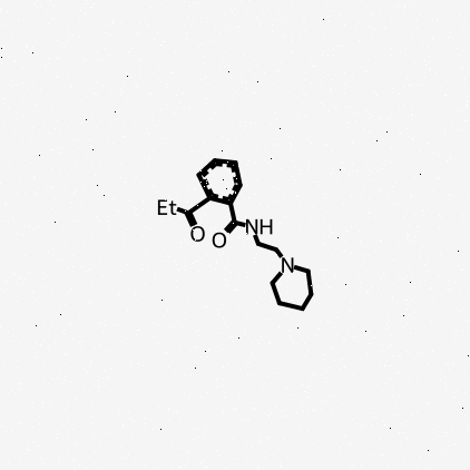 CCC(=O)c1ccccc1C(=O)NCCN1CCCCC1